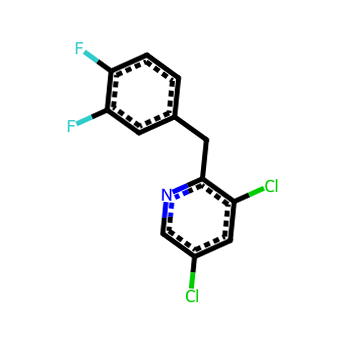 Fc1ccc(Cc2ncc(Cl)cc2Cl)cc1F